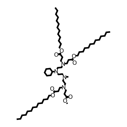 CCCCCCCCCCCCCOC(=O)CCN(CCC(=O)OC)CCN(C)CCN(CCN(CCC(=O)OCCCCCCCCCCCCC)CCC(=O)OCCCCCCCCCCCCC)C1CCCCC1